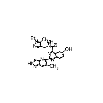 CCn1ncc(CN(C)C(=O)c2nc(-c3nc4c[nH]nc4cc3C)nc3ccc(O)cc23)c1C